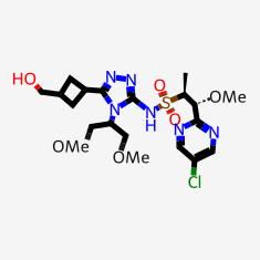 COCC(COC)n1c(NS(=O)(=O)[C@@H](C)[C@H](OC)c2ncc(Cl)cn2)nnc1C1CC(CO)C1